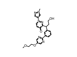 COCCOc1cnc(-c2cccc(C(CCO)c3nn(-c4cnn(C)c4)ccc3=O)c2)nc1